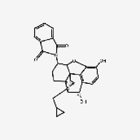 O=C1c2ccccc2C(=O)N1C1CCC2(O)C3[C@@H](O)c4ccc(O)c5c4C2(CCN3CC2CC2)C1O5